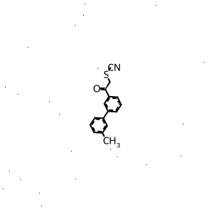 Cc1cccc(-c2cccc(C(=O)CSC#N)c2)c1